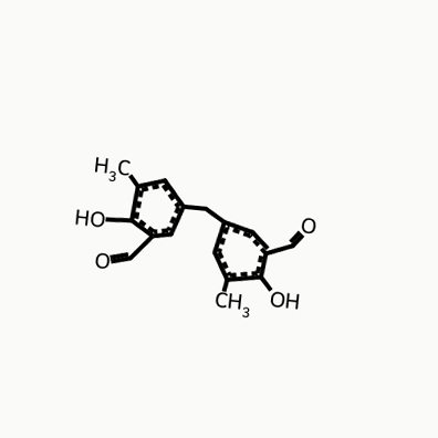 Cc1cc(Cc2cc(C)c(O)c(C=O)c2)cc(C=O)c1O